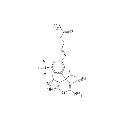 Cc1n[nH]c2c1C(c1cc(C=CCCC(N)=O)cc(C(F)(F)F)c1)(C(C)C)C(C#N)=C(N)O2